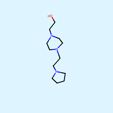 OCCN1CCN(CCN2CCCC2)CC1